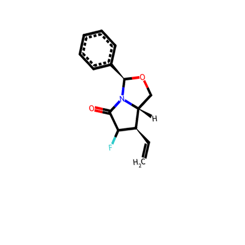 C=C[C@H]1C(F)C(=O)N2[C@@H](c3ccccc3)OC[C@H]12